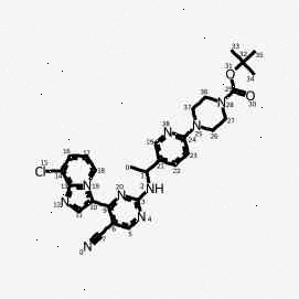 CC(Nc1ncc(C#N)c(-c2cnc3c(Cl)cccn23)n1)c1ccc(N2CCN(C(=O)OC(C)(C)C)CC2)nc1